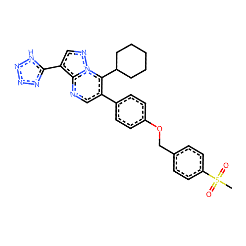 CS(=O)(=O)c1ccc(COc2ccc(-c3cnc4c(-c5nnn[nH]5)cnn4c3C3CCCCC3)cc2)cc1